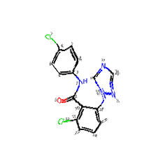 O=C(Nc1ccc(Cl)cc1)c1c(Cl)cccc1-n1cncn1